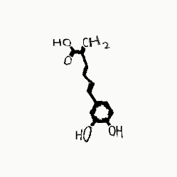 C=C(CCC=Cc1ccc(O)c(O)c1)C(=O)O